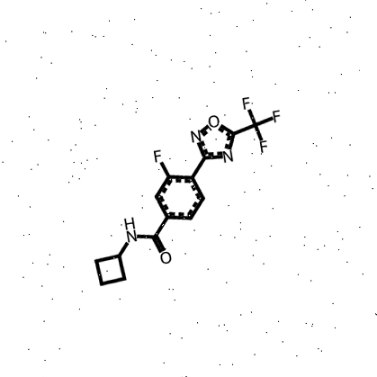 O=C(NC1CCC1)c1ccc(-c2noc(C(F)(F)F)n2)c(F)c1